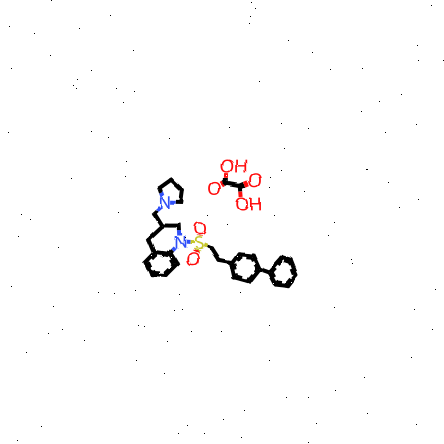 O=C(O)C(=O)O.O=S(=O)(CCc1ccc(-c2ccccc2)cc1)N1CC(CN2CCCC2)Cc2ccccc21